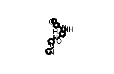 O=C(NC1CCCN(Cc2ccccn2)C1)c1ccc2[nH]nc(-c3ccc4c(c3)CCO4)c2c1